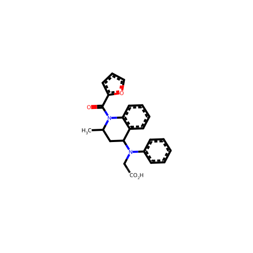 CC1CC(N(CC(=O)O)c2ccccc2)c2ccccc2N1C(=O)c1ccco1